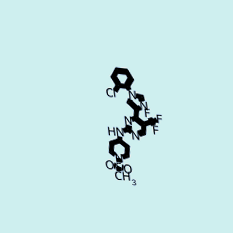 CS(=O)(=O)N1CCC(Nc2ncc(C(F)(F)F)c(-c3cn(-c4ccccc4Cl)cn3)n2)CC1